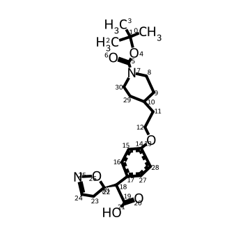 CC(C)(C)OC(=O)N1CCC(CCOc2ccc(C(C(=O)O)[C@H]3CC=NO3)cc2)CC1